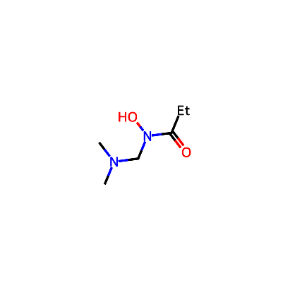 CCC(=O)N(O)CN(C)C